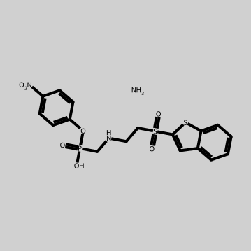 N.O=[N+]([O-])c1ccc(OP(=O)(O)CNCCS(=O)(=O)c2cc3ccccc3s2)cc1